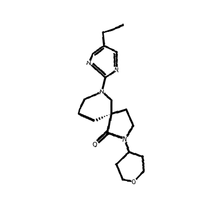 CCc1cnc(N2CCC[C@@]3(CCN(C4CCOCC4)C3=O)C2)nc1